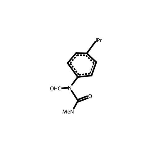 CNC(=O)N(C=O)c1ccc(C(C)C)cc1